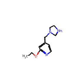 CCOc1cc(CN2CCNC2)ccn1